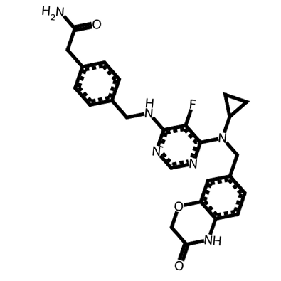 NC(=O)Cc1ccc(CNc2ncnc(N(Cc3ccc4c(c3)OCC(=O)N4)C3CC3)c2F)cc1